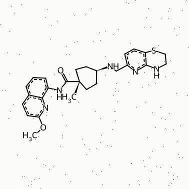 COc1ccc2cccc(NC(=O)[C@]3(C)CC[C@@H](NCc4ccc5c(n4)NCCS5)CC3)c2n1